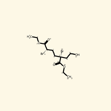 CCOC(=O)[C@@H](Br)CC[C@@](Br)(CCO)C(=O)OCC